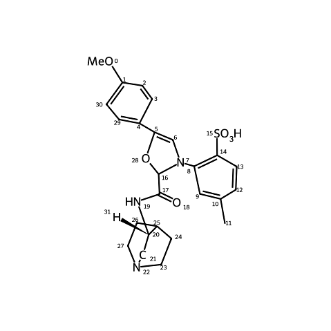 COc1ccc(C2=CN(c3cc(C)ccc3S(=O)(=O)O)C(C(=O)N[C@H]3CN4CCC3CC4)O2)cc1